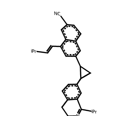 CC(C)C=Cc1cc(C2CC2c2ccc3c(c2)C(C(C)C)=NCC3)cc2ccc(C#N)cc12